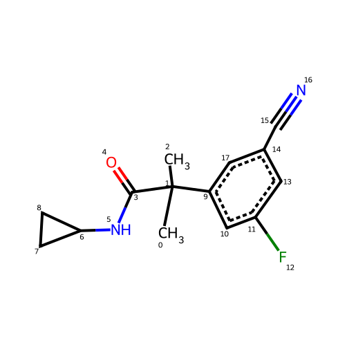 CC(C)(C(=O)NC1CC1)c1cc(F)cc(C#N)c1